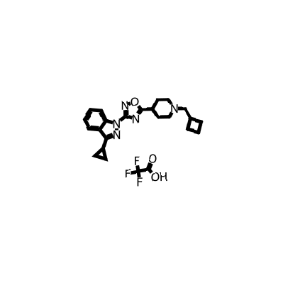 O=C(O)C(F)(F)F.c1ccc2c(c1)c(C1CC1)nn2-c1noc(C2CCN(CC3CCC3)CC2)n1